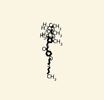 CCCCCSCCOc1ccc(C(=O)/C=C/c2cc(C)c(OC(C)(C)C(=O)OC(C)(C)C)c(C)c2)cc1